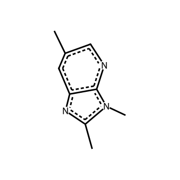 Cc1cnc2c(c1)nc(C)n2C